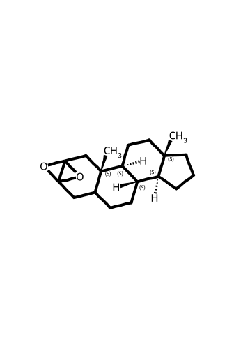 C[C@@]12CCC[C@H]1[C@@H]1CCC3CC45OC4(C[C@]3(C)[C@H]1CC2)O5